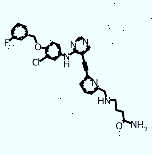 NC(=O)CCCNCc1cccc(C#Cc2cncnc2Nc2ccc(OCc3cccc(F)c3)c(Cl)c2)n1